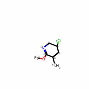 CCOC1=NCC(Cl)CC1C